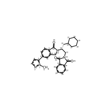 Cn1nccc1-c1ccc2c(c1)CN([C@H](CC1CCCCC1)CN1C(=O)c3ccccc3C1=O)C2=O